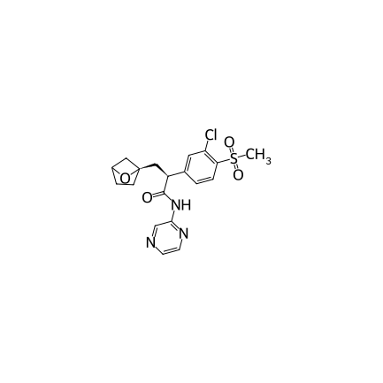 CS(=O)(=O)c1ccc([C@H](C[C@]23CCC(C2)O3)C(=O)Nc2cnccn2)cc1Cl